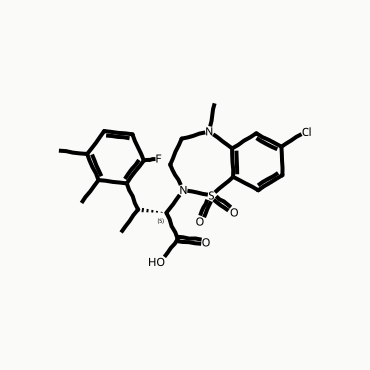 Cc1ccc(F)c(C(C)[C@@H](C(=O)O)N2CCN(C)c3cc(Cl)ccc3S2(=O)=O)c1C